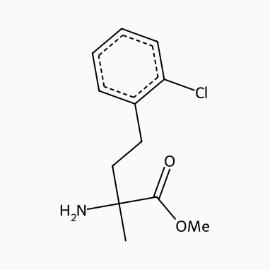 COC(=O)C(C)(N)CCc1ccccc1Cl